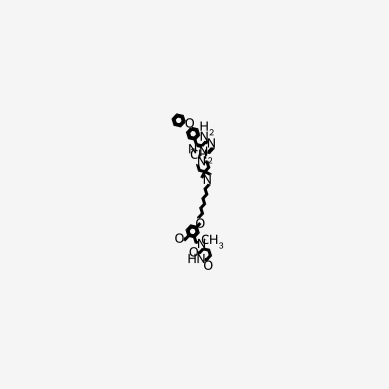 C=N/C(=C1/C(N)=NC=CN1CN1CCC2(CC1)CN(CCCCCCCCOc1ccc(C=O)c(CN(C)C3CCC(=O)NC3=O)c1)C2)c1ccc(Oc2ccccc2)cc1